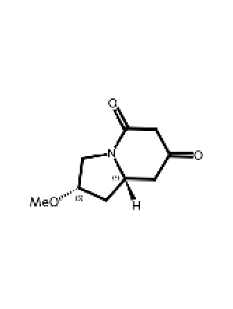 CO[C@H]1C[C@H]2CC(=O)CC(=O)N2C1